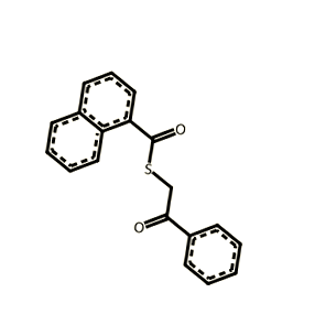 O=C(CSC(=O)c1cccc2ccccc12)c1ccccc1